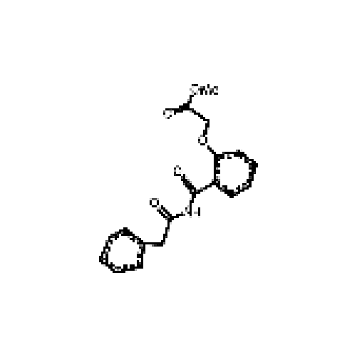 COC(=O)COc1ccccc1C(=O)NC(=O)Cc1ccccc1